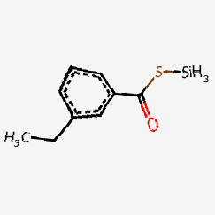 CCc1cccc(C(=O)S[SiH3])c1